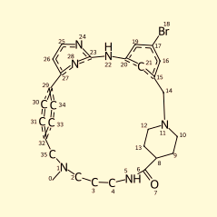 CN1CCCNC(=O)C2CCN(CC2)Cc2cc(Br)cc(c2)Nc2nccc(n2)-c2ccc(cc2)C1